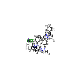 C[N+](C)(C)Cc1ccccc1.C[N+](C)(C)Cc1ccccc1.C[N+](C)(C)Cc1ccccc1.[Cl-].[Cl-].[I-]